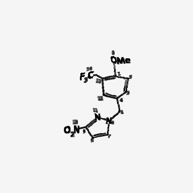 COc1ccc(Cn2ccc([N+](=O)[O-])n2)cc1C(F)(F)F